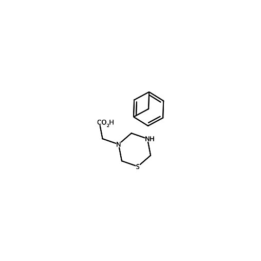 O=C(O)CN1CNCSC1.c1cc2cc(c1)C2